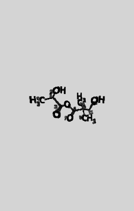 CC(O)C(=O)OC(=O)C(C)(C)CO